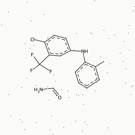 Cc1ccccc1Nc1ccc(Cl)c(C(F)(F)F)c1.NC=O